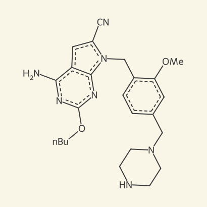 CCCCOc1nc(N)c2cc(C#N)n(Cc3ccc(CN4CCNCC4)cc3OC)c2n1